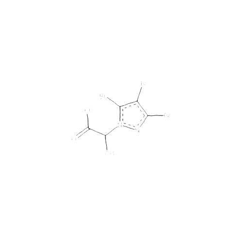 CC(C(=O)Cl)n1nc(Br)c(Br)c1Br